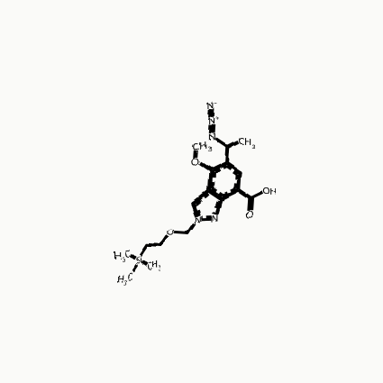 COc1c(C(C)N=[N+]=[N-])cc(C(=O)O)c2nn(COCC[Si](C)(C)C)cc12